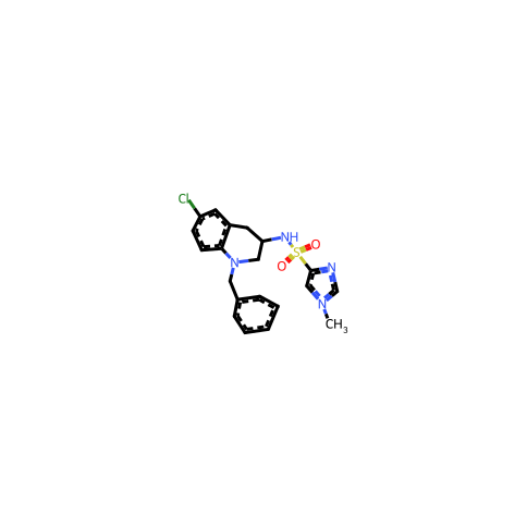 Cn1cnc(S(=O)(=O)NC2Cc3cc(Cl)ccc3N(Cc3ccccc3)C2)c1